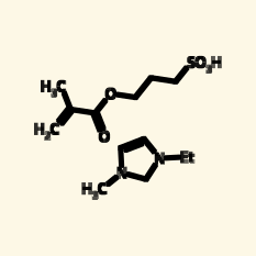 C=C(C)C(=O)OCCCS(=O)(=O)O.CCN1C=CN(C)C1